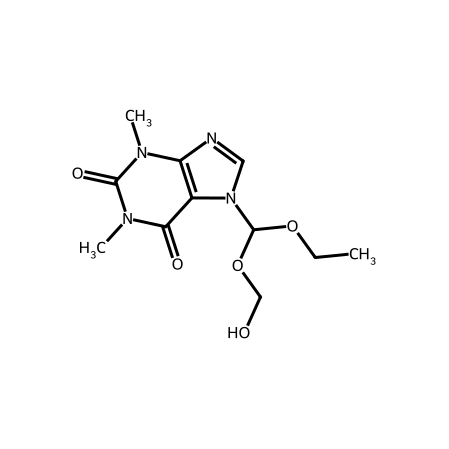 CCOC(OCO)n1cnc2c1c(=O)n(C)c(=O)n2C